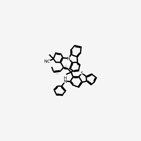 C/C=C\C(=C/C(C)(C)c1c(Nc2ccccc2)ccc2c1sc1ccccc12)C1=C(n2c3ccccc3c3ccccc32)C=CC(C)(C#N)C1